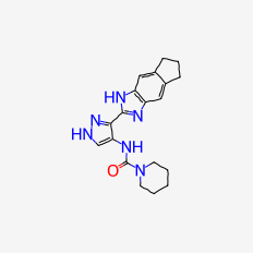 O=C(Nc1c[nH]nc1-c1nc2cc3c(cc2[nH]1)CCC3)N1CCCCC1